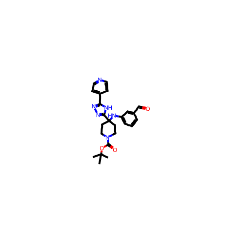 CC(C)(C)OC(=O)N1CCC(Nc2cccc(C=O)c2)(c2nnc(-c3ccncc3)[nH]2)CC1